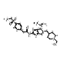 CCN1CCC(CN2Cc3sc(NC(=O)Cc4ccc(S(=O)(=O)CC)cc4)nc3[C@@H]2C(C)C)CC1